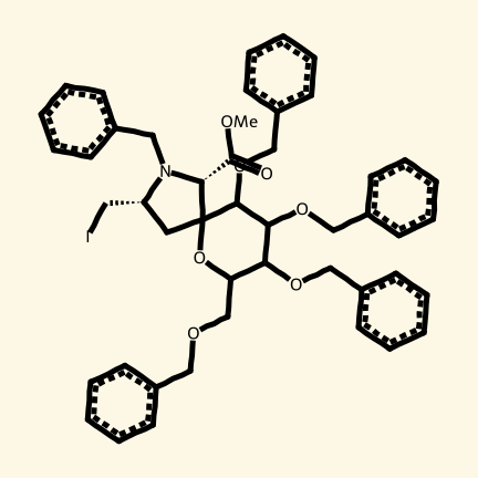 COC(=O)[C@H]1N(Cc2ccccc2)[C@@H](CI)CC12OC(COCc1ccccc1)C(OCc1ccccc1)C(OCc1ccccc1)C2OCc1ccccc1